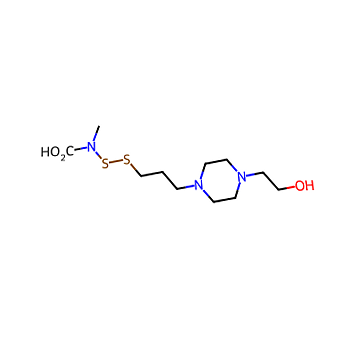 CN(SSCCCN1CCN(CCO)CC1)C(=O)O